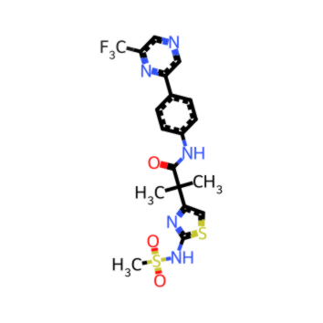 CC(C)(C(=O)Nc1ccc(-c2cncc(C(F)(F)F)n2)cc1)c1csc(NS(C)(=O)=O)n1